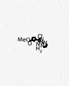 COC(=O)C1C=C(c2c(Cl)nn(-c3ncccn3)c2N)CC1